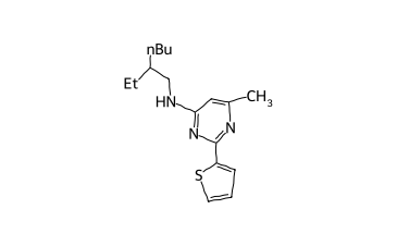 CCCCC(CC)CNc1cc(C)nc(-c2cccs2)n1